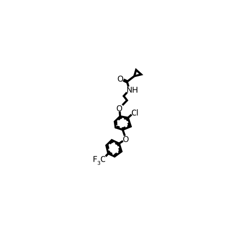 O=C(NCCOc1ccc(Oc2ccc(C(F)(F)F)cc2)cc1Cl)C1CC1